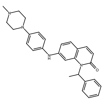 CC(c1ccccc1)n1c(=O)ccc2ccc(Nc3ccc(N4CCN(C)CC4)cc3)cc21